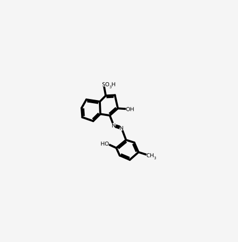 Cc1ccc(O)c(N=Nc2c(O)cc(S(=O)(=O)O)c3ccccc23)c1